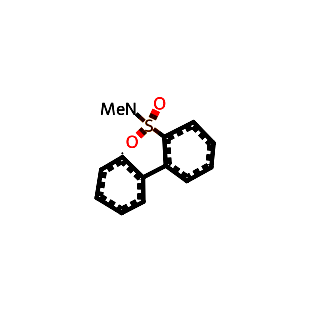 CNS(=O)(=O)c1ccccc1-c1[c]cccc1